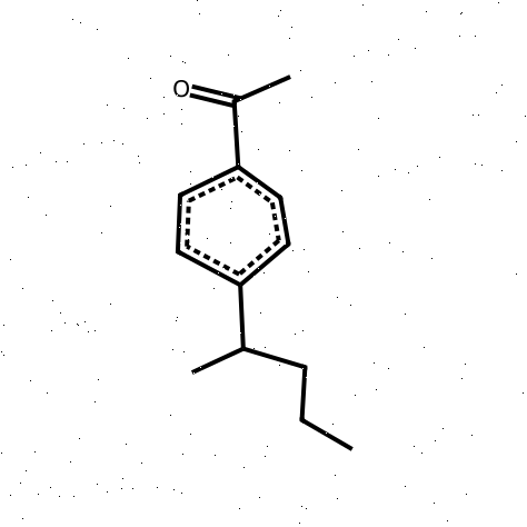 CCCC(C)c1ccc(C(C)=O)cc1